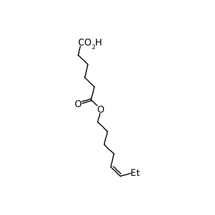 CC/C=C\CCCCOC(=O)CCCCC(=O)O